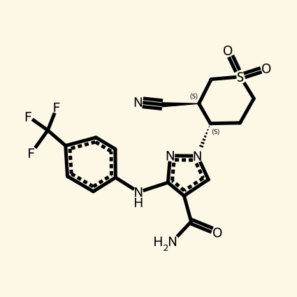 N#C[C@H]1CS(=O)(=O)CC[C@@H]1n1cc(C(N)=O)c(Nc2ccc(C(F)(F)F)cc2)n1